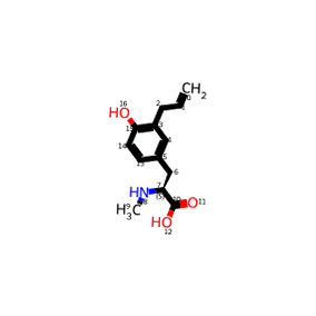 C=CCc1cc(C[C@H](NC)C(=O)O)ccc1O